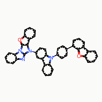 c1ccc2c(c1)nc1n(-c3ccc4c(c3)c3ccccc3n4-c3ccc(-c4cccc5c4oc4ccccc45)cc3)c3c4ccccc4oc3n21